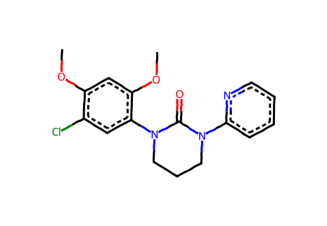 COc1cc(OC)c(N2CCCN(c3ccccn3)C2=O)cc1Cl